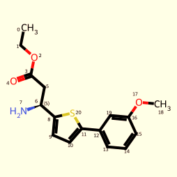 CCOC(=O)C[C@H](N)c1ccc(-c2cccc(OC)c2)s1